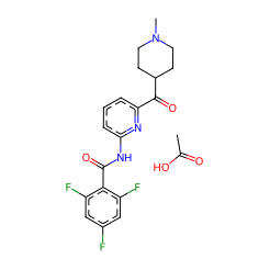 CC(=O)O.CN1CCC(C(=O)c2cccc(NC(=O)c3c(F)cc(F)cc3F)n2)CC1